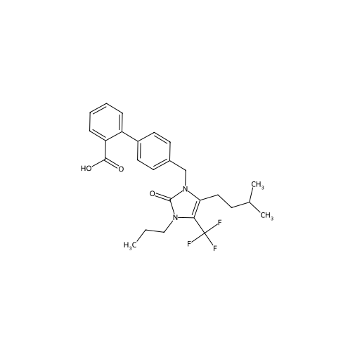 CCCn1c(C(F)(F)F)c(CCC(C)C)n(Cc2ccc(-c3ccccc3C(=O)O)cc2)c1=O